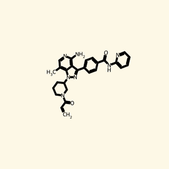 C=CC(=O)N1CCCC(n2nc(-c3ccc(C(=O)Nc4ccccn4)cc3)c3c(N)ncc(C)c32)C1